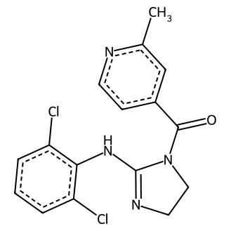 Cc1cc(C(=O)N2CCN=C2Nc2c(Cl)cccc2Cl)ccn1